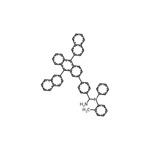 Cc1ccccc1N(c1ccccc1)C(N)c1ccc(-c2ccc3c(-c4ccc5ccccc5c4)c4ccccc4c(-c4ccc5ccccc5c4)c3c2)cc1